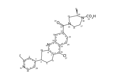 Cc1cc(C2CCc3c(nc4cc(C(=O)N5CCN(C(=O)O)[C@H](C)C5)ccc4c3Cl)C2)ccn1